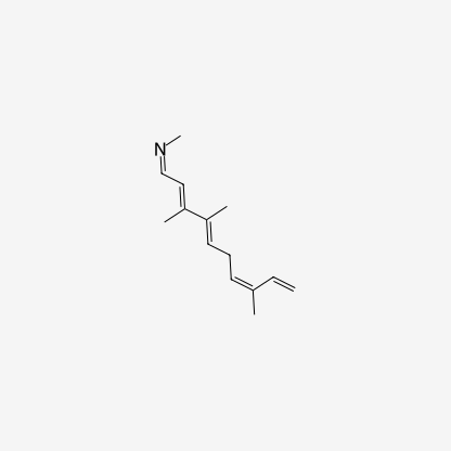 C=CC(C)=CC/C=C(C)/C(C)=C/C=N\C